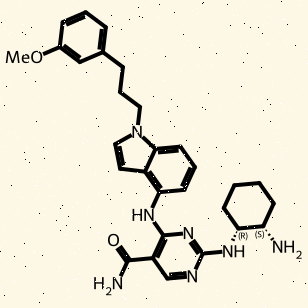 COc1cccc(CCCn2ccc3c(Nc4nc(N[C@@H]5CCCC[C@@H]5N)ncc4C(N)=O)cccc32)c1